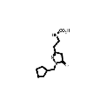 O=C(O)NCCC1=NN(CC2CCCC2)C(=O)C1